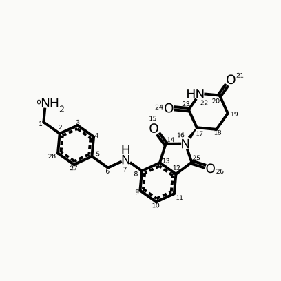 NCc1ccc(CNc2cccc3c2C(=O)N([C@@H]2CCC(=O)NC2=O)C3=O)cc1